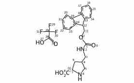 O=C(NCC1CN[C@H](C(=O)O)C1)OCC1c2ccccc2-c2ccccc21.O=C(O)C(F)(F)F